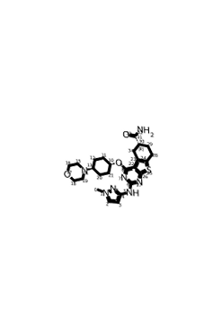 Cn1ccc(Nc2nc(O[C@H]3CC[C@H](N4CCOCC4)CC3)c3c4c(sc3n2)CC[C@@H](C(N)=O)C4)n1